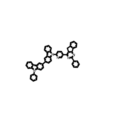 c1ccc(-c2nc(-c3ccc(-n4c5ccccc5c5cc(-c6ccc7c(c6)c6ccccc6n7-c6ccccc6)ccc54)nc3)c3c(n2)-c2ccccc2C3)cc1